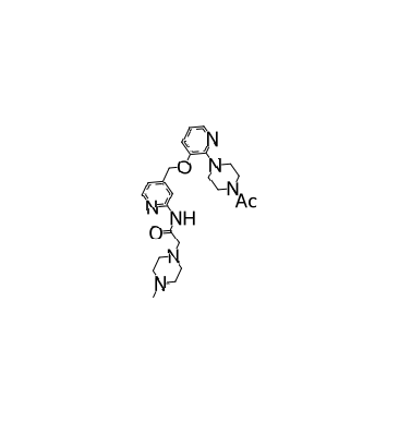 CC(=O)N1CCN(c2ncccc2OCc2ccnc(NC(=O)CN3CCN(C)CC3)c2)CC1